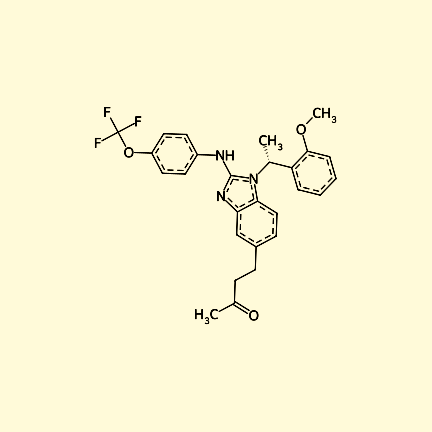 COc1ccccc1[C@@H](C)n1c(Nc2ccc(OC(F)(F)F)cc2)nc2cc(CCC(C)=O)ccc21